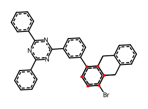 Brc1ccc(-c2cccc(-c3nc(-c4ccccc4)nc(-c4ccccc4)n3)c2)c2c1C1c3ccccc3C2c2ccccc21